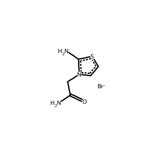 NC(=O)C[n+]1ccsc1N.[Br-]